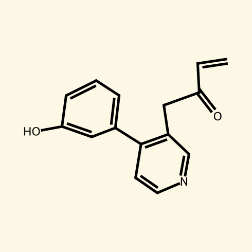 C=CC(=O)Cc1cnccc1-c1cccc(O)c1